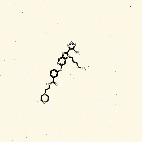 COCCCn1c(-c2nonc2N)nc2cnc(Oc3cccc(C(=O)NCCN4CCOCC4)c3)cc21